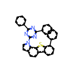 c1ccc(-c2nc(-c3ccccc3)nc(-n3ccc4ccc5c6cccc(-c7ccccc7)c6sc5c43)n2)cc1